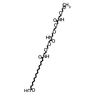 COCCOCCNC(=O)COCCOCCNC(=O)COCCOCCNC(=O)CCCCCCCCCCCCCCC(=O)O